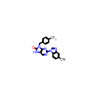 N#Cc1ccc2c(c1)ncn2-c1ncc2[nH]c(=O)n(Cc3ccc(C(F)(F)F)cc3)c2n1